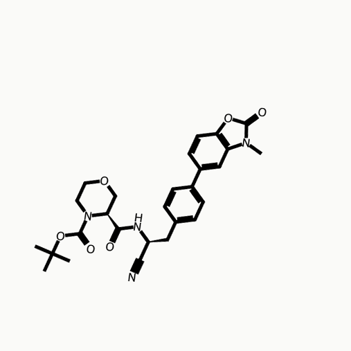 Cn1c(=O)oc2ccc(-c3ccc(C[C@@H](C#N)NC(=O)[C@@H]4COCCN4C(=O)OC(C)(C)C)cc3)cc21